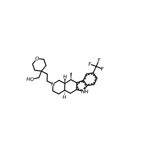 C[C@H]1c2c([nH]c3ccc(C(F)(F)F)cc23)C[C@H]2CCN(CCC3(CO)CCOCC3)C[C@@H]21